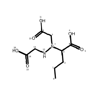 CCCC(C(=O)O)N(CC(=O)O)NCC(=O)O